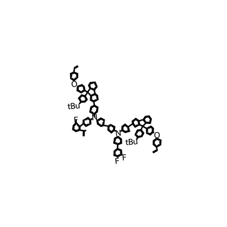 C=Cc1ccc(Oc2ccc(C3(c4ccc(C(C)(C)C)cc4)c4ccccc4-c4ccc(-c5ccc(N(c6ccc(-c7ccc(N(c8ccc(-c9ccc%10c(c9)C(c9ccc(Oc%11ccc(C=C)cc%11)cc9)(c9ccc(C(C)(C)C)cc9)c9ccccc9-%10)cc8)c8ccc(-c9c(F)cccc9C(=C)C)cc8)cc7)cc6)c6ccc(-c7ccc(F)c(F)c7)cc6)cc5)cc43)cc2)cc1